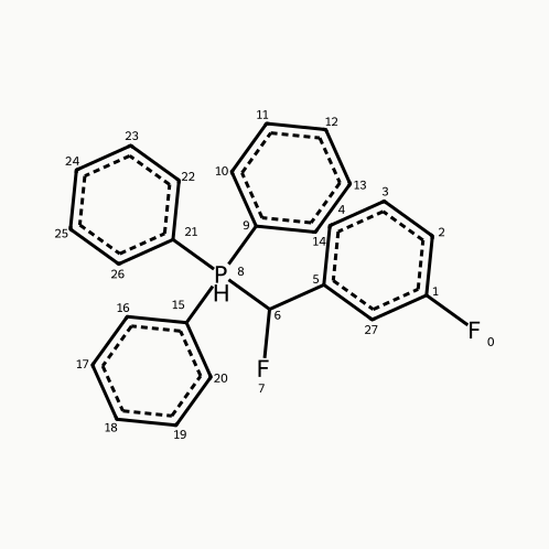 Fc1cccc(C(F)[PH](c2ccccc2)(c2ccccc2)c2ccccc2)c1